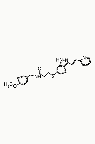 COc1ccc(CNC(=O)CCSc2ccc3c(C=Cc4ccccn4)n[nH]c3c2)cc1